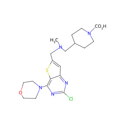 CN(Cc1cc2nc(Cl)nc(N3CCOCC3)c2s1)CC1CCN(C(=O)O)CC1